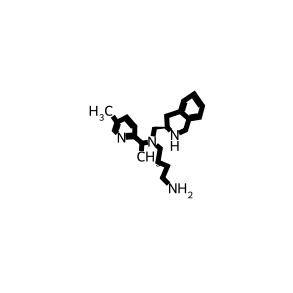 Cc1ccc(C(C)N(CCCCN)C[C@H]2Cc3ccccc3CN2)nc1